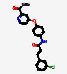 CNC(=O)c1cc(Oc2ccc(NC(=O)/C=C/c3cccc(Cl)c3)cc2)ccn1